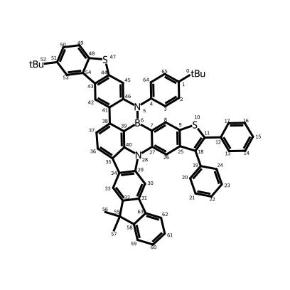 CC(C)(C)c1ccc(N2B3c4cc5sc(-c6ccccc6)c(-c6ccccc6)c5cc4-n4c5cc6c(cc5c5ccc(c3c54)-c3cc4c(cc32)sc2ccc(C(C)(C)C)cc24)C(C)(C)c2ccccc2-6)cc1